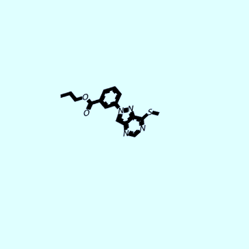 CCCOC(=O)c1cccc(-n2cc3ncnc(SC)c3n2)c1